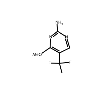 COc1nc(N)ncc1C(C)(F)F